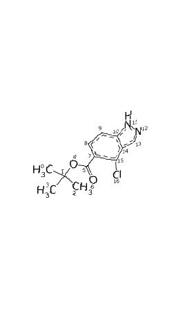 CC(C)(C)OC(=O)c1ccc2[nH]ncc2c1Cl